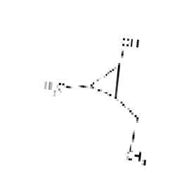 CCC1=C(O)C1C